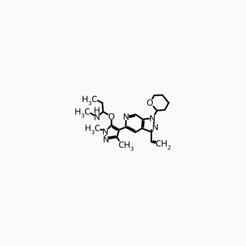 C=Cc1nn(C2CCCCO2)c2cnc(-c3c(C)nn(C)c3OC(CC)NC)cc12